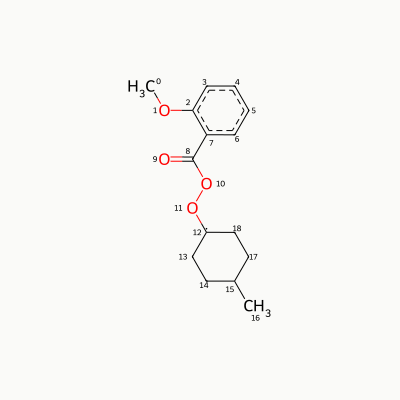 COc1ccccc1C(=O)OO[C]1CCC(C)CC1